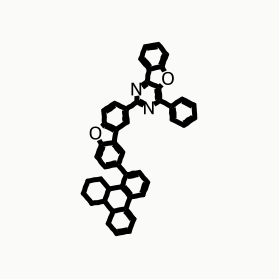 C1=CCC2C(=C1)c1cccc(-c3ccc4oc5ccc(-c6nc(-c7ccccc7)c7oc8ccccc8c7n6)cc5c4c3)c1C1CCCCC21